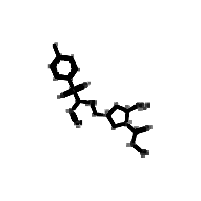 Cc1ccc(S(=O)(=O)C(N=N)NC[C@@H]2C[C@@H](C(=O)O)N(C(=O)OC(C)(C)C)C2)cc1